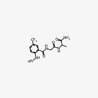 CCCNc1ccc(C(F)(F)F)cc1C(=O)NCC(=O)NC(C)C(N)=O